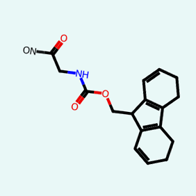 O=NC(=O)CNC(=O)OCC1C2=C(CCC=C2)C2=C1C=CCC2